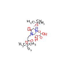 CC(C)(C)OC[C@@H]1NCCN(CC(=O)OC(C)(C)C)C1=O.O=C(O)C(=O)O